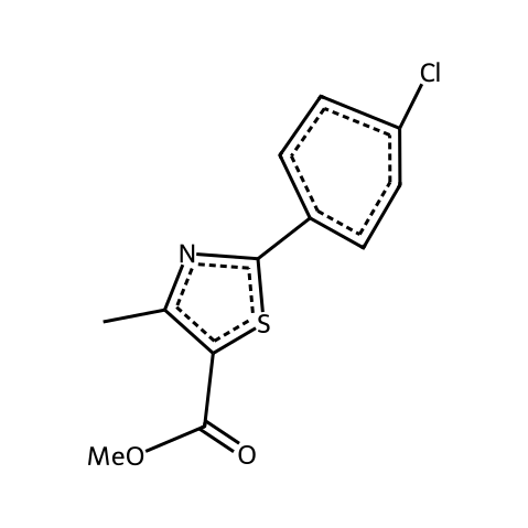 COC(=O)c1sc(-c2ccc(Cl)cc2)nc1C